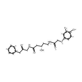 O=C(CNC(=O)C[C@@H](O)CCNC(=O)COc1ccc(Cl)c(F)c1)Cc1ccccc1